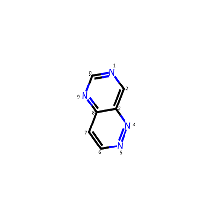 [c]1ncc2nnccc2n1